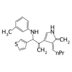 C=C(c1c[nH]c(=C)/c1=C\CCC)C(Nc1cccc(C)c1)c1ccsc1